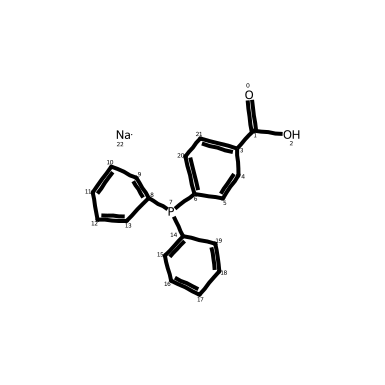 O=C(O)c1ccc(P(c2ccccc2)c2ccccc2)cc1.[Na]